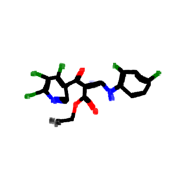 CCOC(=O)/C(=C\Nc1ccc(F)cc1F)C(=O)c1cnc(Cl)c(Cl)c1Cl